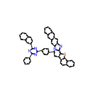 c1ccc(-c2nc(-c3ccc(-c4cc5c6ccc7ccccc7c6sc5c5nc6cc7cc8ccccc8cc7cc6n45)cc3)nc(-c3ccc4ccccc4c3)n2)cc1